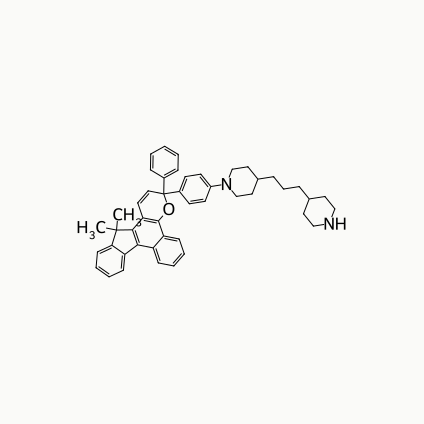 CC1(C)c2ccccc2-c2c1c1c(c3ccccc23)OC(c2ccccc2)(c2ccc(N3CCC(CCCC4CCNCC4)CC3)cc2)C=C1